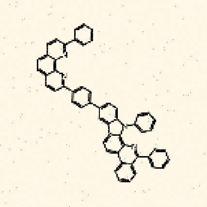 c1ccc(-c2ccc3ccc4ccc(-c5ccc(-c6ccc7c(c6)c6ccc8c9ccccc9c(-c9ccccc9)nc8c6n7-c6ccccc6)cc5)nc4c3n2)cc1